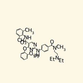 CCN(CC)CCN(C)C(=O)c1ccc(Nc2ncc(C(=O)Nc3c(C)cccc3C)c(Oc3ccccc3OC(C)C)n2)cc1